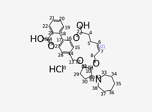 Cl.O=C(O)CC/C=C\CO[C@@H]1[C@@H](OCc2ccc(-c3ccccc3C(=O)O)cc2)CC[C@H]1N1CCCCCC1